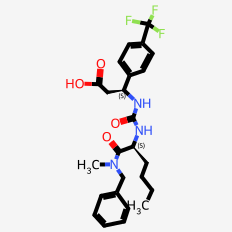 CCCC[C@H](NC(=O)N[C@@H](CC(=O)O)c1ccc(C(F)(F)F)cc1)C(=O)N(C)Cc1ccccc1